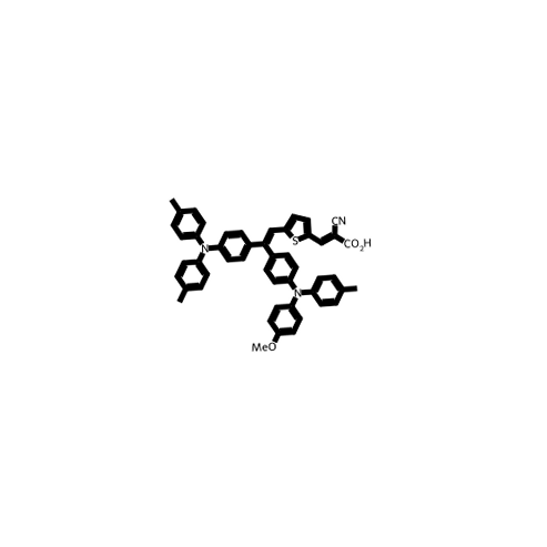 COc1ccc(N(c2ccc(C)cc2)c2ccc(/C(=C\c3ccc(/C=C(\C#N)C(=O)O)s3)c3ccc(N(c4ccc(C)cc4)c4ccc(C)cc4)cc3)cc2)cc1